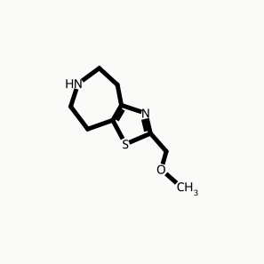 COCc1nc2c(s1)CCNCC2